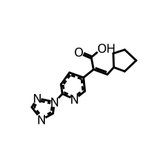 O=C(O)C(=CC1CCCC1)c1ccc(-n2cncn2)nc1